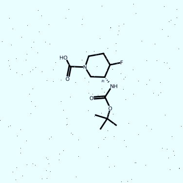 CC(C)(C)OC(=O)N[C@@H]1CN(C(=O)O)CCC1F